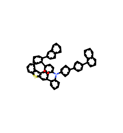 c1ccc(-c2ccc3ccccc3c2)c(-c2ccc(N(c3ccc(-c4ccc(-c5cccc6ccccc56)cc4)cc3)c3ccccc3-c3ccc4c(c3)sc3ccccc34)cc2)c1